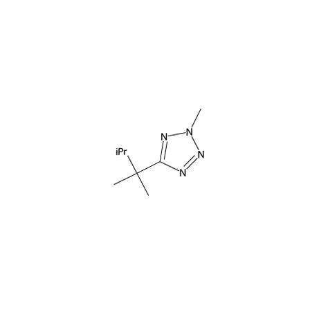 CC(C)C(C)(C)c1nnn(C)n1